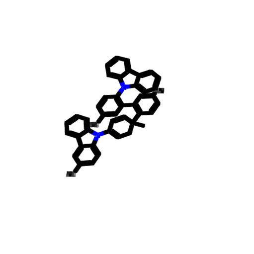 CC1(c2ccc(C#N)cc2-c2cc(C#N)ccc2-n2c3ccccc3c3ccccc32)C=CC(n2c3ccccc3c3cc(C#N)ccc32)=CC1